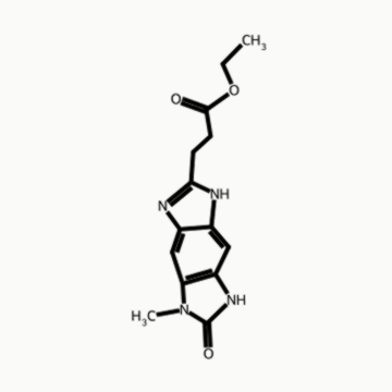 CCOC(=O)CCc1nc2cc3c(cc2[nH]1)[nH]c(=O)n3C